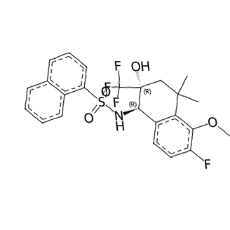 COc1c(F)ccc2c1C(C)(C)C[C@](O)(C(F)(F)F)[C@@H]2NS(=O)(=O)c1cccc2ccccc12